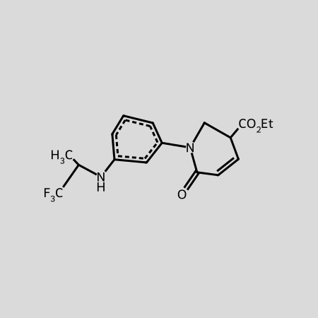 CCOC(=O)C1C=CC(=O)N(c2cccc(NC(C)C(F)(F)F)c2)C1